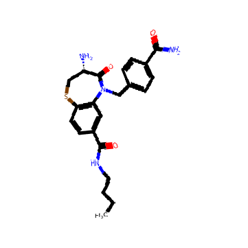 CCCCNC(=O)c1ccc2c(c1)N(Cc1ccc(C(N)=O)cc1)C(=O)[C@@H](N)CS2